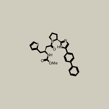 COC(=O)N[C@H](CC(=O)N1CCC[C@H]1c1ncc(-c2ccc(-c3ccccc3)cc2)[nH]1)Cc1cccs1